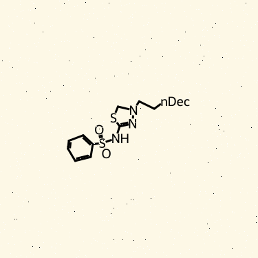 CCCCCCCCCCCCN1CSC(NS(=O)(=O)c2ccccc2)=N1